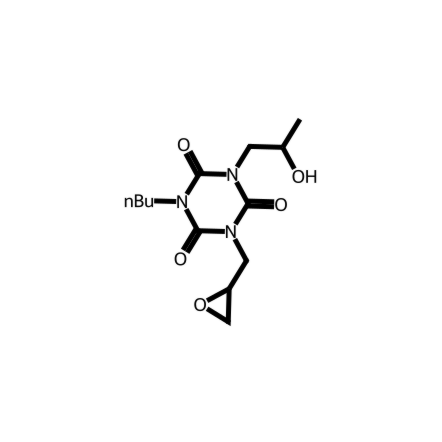 CCCCn1c(=O)n(CC(C)O)c(=O)n(CC2CO2)c1=O